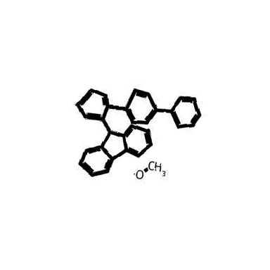 C[O].c1ccc(-c2ccc(-c3ccccc3C3c4ccccc4-c4ccccc43)cc2)cc1